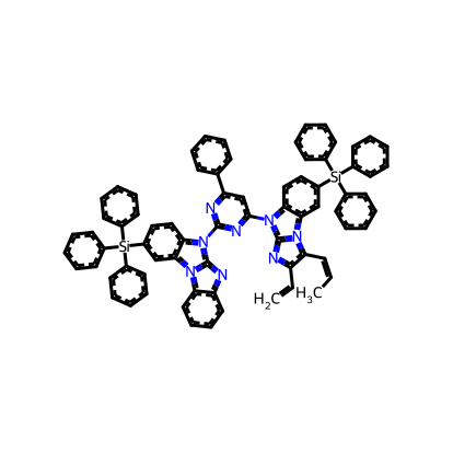 C=Cc1nc2n(-c3cc(-c4ccccc4)nc(-n4c5ccc([Si](c6ccccc6)(c6ccccc6)c6ccccc6)cc5n5c6ccccc6nc45)n3)c3ccc([Si](c4ccccc4)(c4ccccc4)c4ccccc4)cc3n2c1/C=C\C